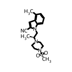 Cc1cccc2c1cc(C#N)n2C[C@H](C)N1CCN(S(C)(=O)=O)CC1